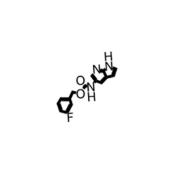 O=C(Nc1cnc2[nH]ccc2c1)OCc1cccc(F)c1